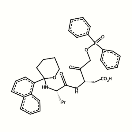 CC(C)[C@H](NC1(c2cccc3ccccc23)CCCCO1)C(=O)N[C@@H](CC(=O)O)C(=O)COP(=O)(c1ccccc1)c1ccccc1